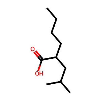 CCCCC(CC(C)C)C(=O)O